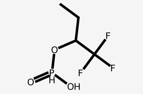 CCC(O[PH](=O)O)C(F)(F)F